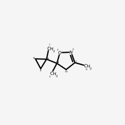 CC1=NOC(C)(C2(C)CC2)C1